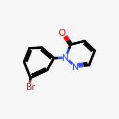 O=c1cccnn1-c1cccc(Br)c1